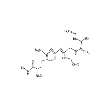 C=CNC(C(=C)NC/C(=C/c1ccc(CC[C@H](NC)C(=O)NCC)c(NC)c1)NCC=O)C(C)CC